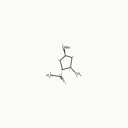 CO[C@@H]1C[C@@H](C(N)=S)N(C)C1